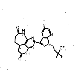 CC(F)(CCn1nc(-c2nc3c4c(n2)NC(=O)C[C@]4(C)CCC(=O)N3)c2cc(F)cnc21)C(F)(F)F